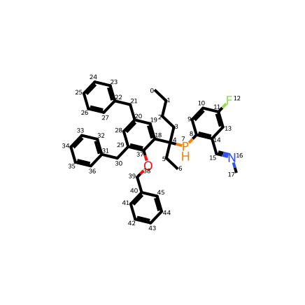 CCCCC(CC)(Pc1ccc(F)cc1/C=N/C)c1cc(Cc2ccccc2)cc(Cc2ccccc2)c1OCc1ccccc1